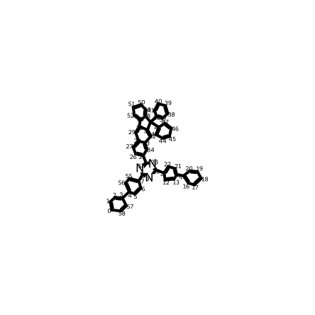 c1ccc(-c2ccc(-c3nc(-c4ccc(-c5ccccc5)cc4)nc(-c4ccc5cc6c(cc5c4)C(c4ccccc4)(c4ccccc4)c4ccccc4-6)n3)cc2)cc1